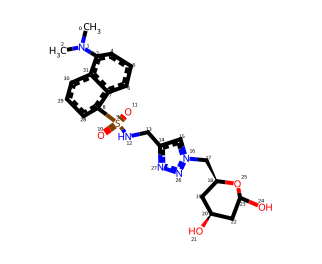 CN(C)c1cccc2c(S(=O)(=O)NCc3cn(C[C@@H]4C[C@H](O)CC(O)O4)nn3)cccc12